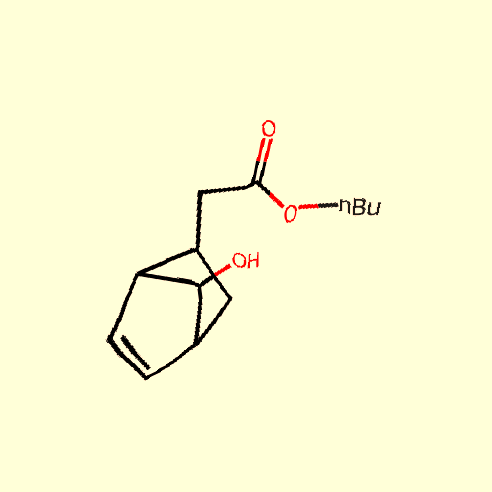 CCCCOC(=O)CC1CC2C=CC1C2O